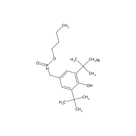 CCCCO[PH](=O)Cc1cc(C(C)(C)C)c(O)c(C(C)(C)C)c1.[Ni]